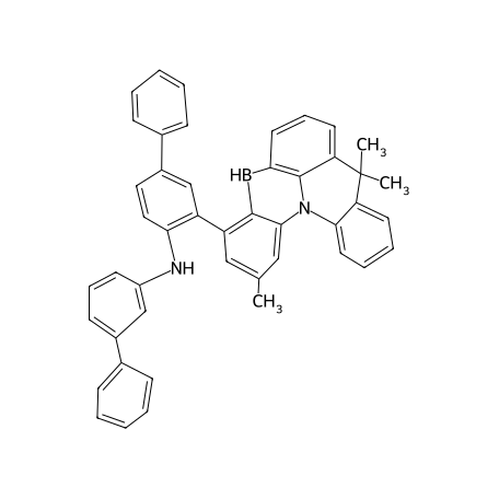 Cc1cc(-c2cc(-c3ccccc3)ccc2Nc2cccc(-c3ccccc3)c2)c2c(c1)N1c3ccccc3C(C)(C)c3cccc(c31)B2